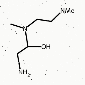 CNCCN(C)C(O)CN